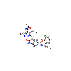 Cc1[nH]c(/C=C2\C(=O)Nc3ccc(C(=O)NC(C)c4cccc(Cl)c4)cc32)c(C)c1NC(=O)CCl